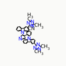 Cc1nc(C)nc(-c2ccc3c(c2)c2ccccc2n3-c2ccc(C#N)cc2-c2ccncc2-n2c3ccccc3c3cc(-c4nc(C)nc(C)n4)ccc32)n1